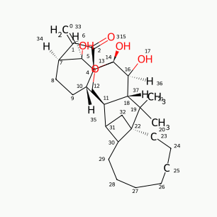 C=C1C(=O)[C@]23[C@H](O)[C@H]1CC[C@H]2[C@@]12CO[C@@]3(O)[C@@H](O)[C@@H]1C(C)(C)[C@@]13CCCCCCCC1C2C3